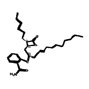 CCCCCCCCCCC[C@@H](C[C@@H]1OC(=O)[C@H]1CCCCCC)Oc1ccccc1C(N)=O